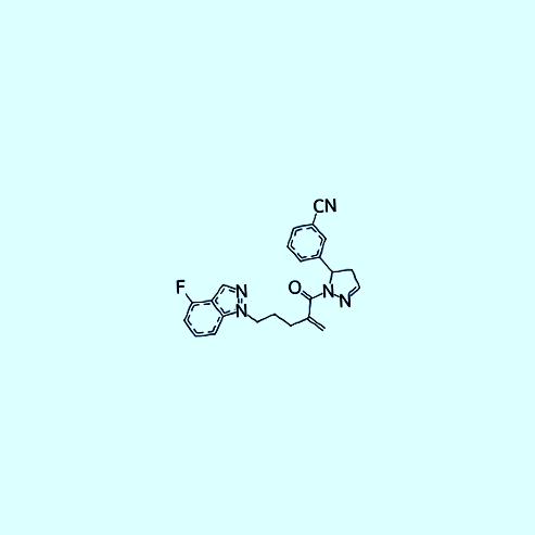 C=C(CCCn1ncc2c(F)cccc21)C(=O)N1N=CCC1c1cccc(C#N)c1